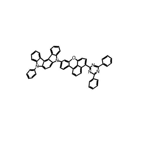 c1ccc(-c2nc(-c3ccccc3)nc(-c3ccc4c5c(cccc35)-c3ccc(-n5c6ccccc6c6c7c8ccccc8n(-c8ccccc8)c7ccc65)cc3O4)n2)cc1